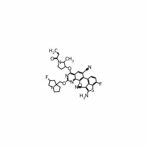 C=CC(=O)N1CCC(Oc2nc(OCC34CCCN3CC(F)C4)nc3c(Cl)c(-c4ccc(F)c5sc(N)c(C#N)c45)c(C#N)cc23)C1C